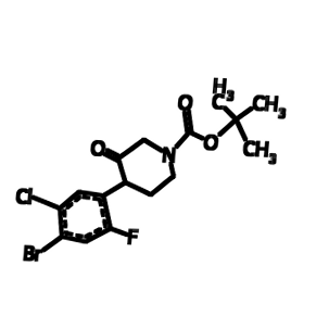 CC(C)(C)OC(=O)N1CCC(c2cc(Cl)c(Br)cc2F)C(=O)C1